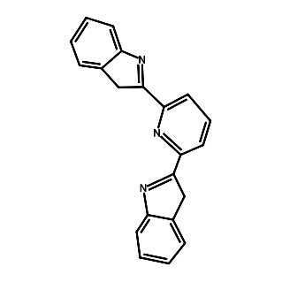 c1cc(C2=Nc3ccccc3C2)nc(C2=Nc3ccccc3C2)c1